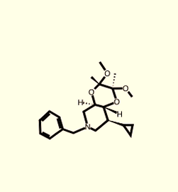 CO[C@@]1(C)O[C@@H]2[C@@H](C3CC3)CN(Cc3ccccc3)C[C@H]2O[C@]1(C)OC